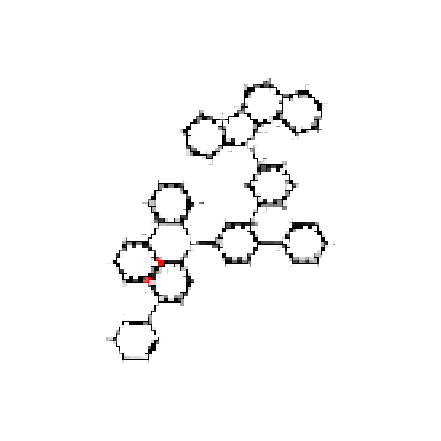 C1=CC(c2ccc(N(c3ccc(-c4ccccc4)c(-c4cccc(-n5c6ccccc6c6ccc7ccccc7c65)c4)c3)c3ccccc3-c3ccccc3)cc2)=CCC1